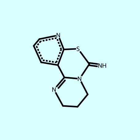 N=C1Sc2ncccc2C2=NCCCN12